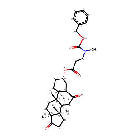 CN(CCC(=O)O[C@H]1CC[C@@]2(C)C(C1)C(=O)C[C@@H]1[C@@H]2CC[C@]2(C)C(=O)CC[C@@H]12)C(=O)OCc1ccccc1